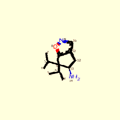 CC(C)C1(C(C)C)c2oncc2C[C@H]1N